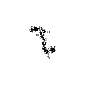 Cc1ncsc1-c1ccc(CNC(=O)[C@@H]2C[C@@H](O)CN2C(=O)C(NC(=O)CCC(=O)N2CCC(n3cc(-c4cnc(N)c(OC(C)c5c(Cl)ccc(F)c5Cl)c4)cn3)CC2)C(C)(C)C)cc1